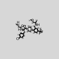 CNCC(=O)N[C@H](Cc1ccc(Cl)cc1)C(=O)N1CCN(c2ccc(C(F)(F)F)cc2CNC(C)COC)CC1